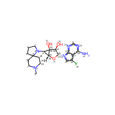 CN1CCC2(CCCN2C2[C@H]3O[C@@H](n4cc(F)c5c(N)ncnc54)[C@H](O)[C@@]23O)CC1